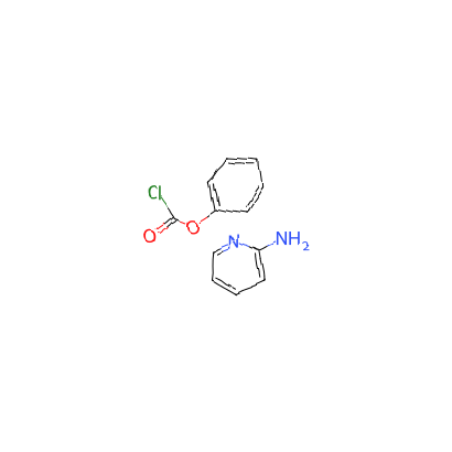 Nc1ccccn1.O=C(Cl)Oc1ccccc1